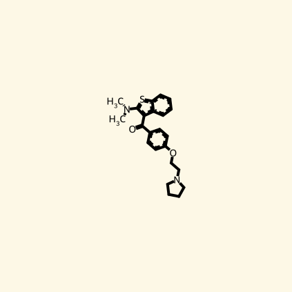 CN(C)c1sc2ccccc2c1C(=O)c1ccc(OCCN2CCCC2)cc1